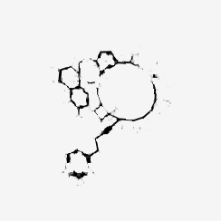 CO[C@@]1(C#CCCc2ccncn2)CCC[C@H](C)[C@@H](C)S(=O)(=O)NC(O)c2ccc3c(c2)N(C[C@@H]2CC[C@H]21)C[C@@]1(CCCc2cc(Cl)ccc21)CO3